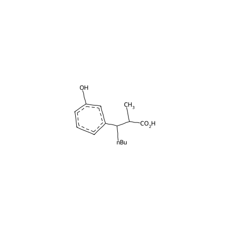 CCCCC(c1cccc(O)c1)C(C)C(=O)O